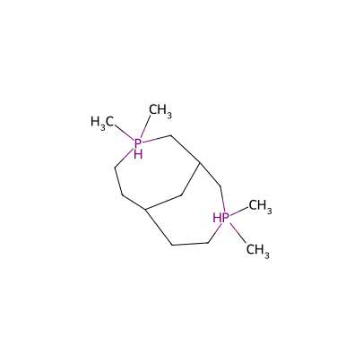 C[PH]1(C)CCC2CC[PH](C)(C)CC(C2)C1